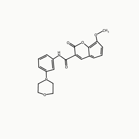 COc1cccc2cc(C(=O)Nc3cccc(N4CCOCC4)c3)c(=O)oc12